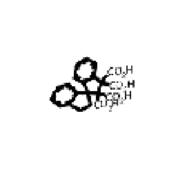 O=C(O)C1(C(=O)O)c2ccccc2C2(CCc3ccccc32)C1(C(=O)O)C(=O)O